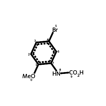 COc1ccc(Br)cc1NC(=O)O